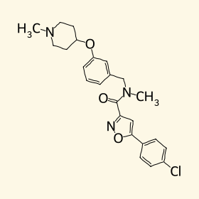 CN1CCC(Oc2cccc(CN(C)C(=O)c3cc(-c4ccc(Cl)cc4)on3)c2)CC1